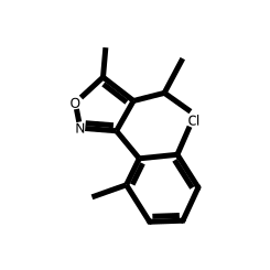 Cc1cccc(Cl)c1-c1noc(C)c1C(C)C